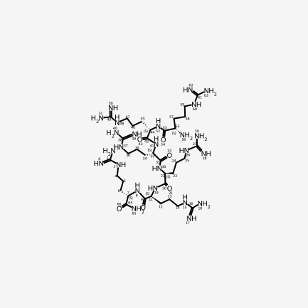 N=C(N)NCCC[C@H](NC(=O)[C@H](CCCNC(=N)N)NC(=O)[C@H](CCCNC(=N)N)NC(=O)[C@H](CCCNC(=N)N)NC(=O)[C@H](CCCNC(=N)N)NC(=O)[C@@H](N)CCCNC(=N)N)C(N)=O